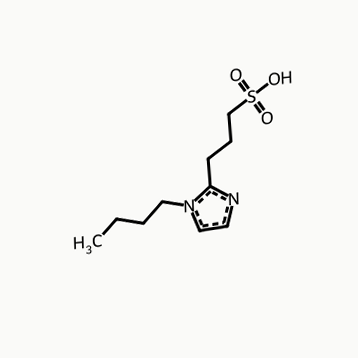 CCCCn1ccnc1CCCS(=O)(=O)O